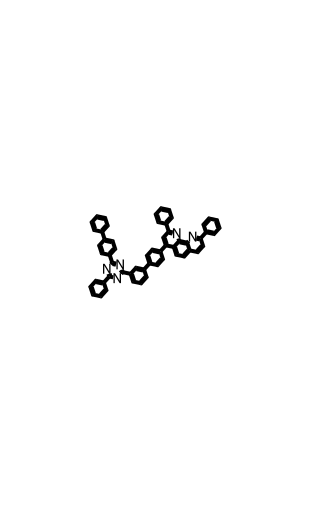 c1ccc(-c2ccc(-c3nc(-c4ccccc4)nc(-c4cccc(-c5ccc(-c6cc(-c7ccccc7)nc7c6ccc6ccc(-c8ccccc8)nc67)cc5)c4)n3)cc2)cc1